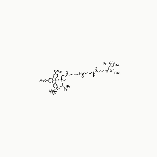 C=CCCCC(CCC1(CCC(c2ccc(OC)cc2)(c2ccc(OC)cc2)c2ccc(OC)cc2)CCC(C(=O)CCCCCNC(=O)CCCCCNC(=O)CCCCO[C@@H]2O[C@H](COC(C)=O)[C@H](OC(C)=O)[C@H](OC(C)=O)[C@H]2CC(C)C)CC1)C(C(C)C)C(C)C